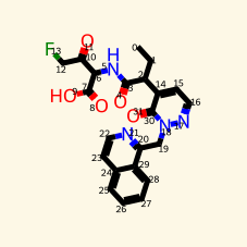 CCC(C(=O)NC(C(=O)O)C(=O)CF)c1ccnn(Cc2nccc3ccccc23)c1=O